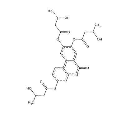 CC(O)CC(=O)Oc1ccc2c(c1)oc(=O)c1cc(OC(=O)CC(C)O)c(OC(=O)CC(C)O)cc12